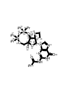 CC(C)C(=O)Nc1nc2c(ncn2[C@@H]2O[C@@H]3CO[Si](C(C)C)(C(C)C)O[Si](C(C)C)(C(C)C)O[C@H]3[C@]23CCS3)c(=O)[nH]1